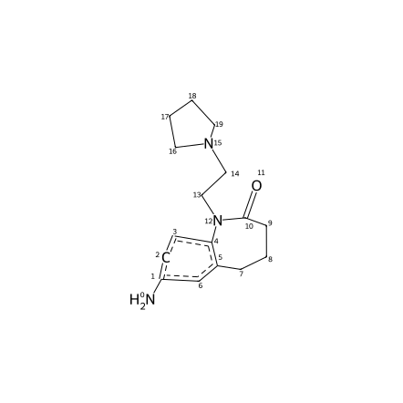 Nc1ccc2c(c1)CCCC(=O)N2CCN1CCCC1